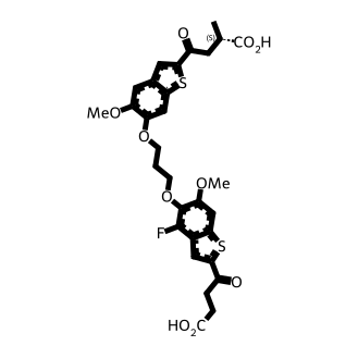 COc1cc2cc(C(=O)C[C@H](C)C(=O)O)sc2cc1OCCCOc1c(OC)cc2sc(C(=O)CCC(=O)O)cc2c1F